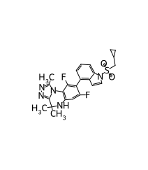 Cc1nnc2n1-c1c(cc(F)c(-c3cccc4c3ccn4S(=O)(=O)CC3CC3)c1F)NC2(C)C